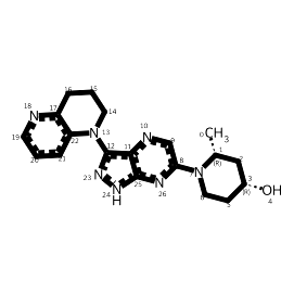 C[C@@H]1C[C@H](O)CCN1c1cnc2c(N3CCCc4ncccc43)n[nH]c2n1